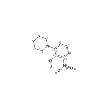 COc1c(N2CCCCC2)cccc1[N+](=O)[O-]